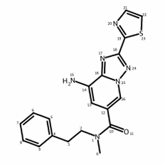 CN(CCc1ccccc1)C(=O)c1cc(N)c2nc(-c3nccs3)nn2c1